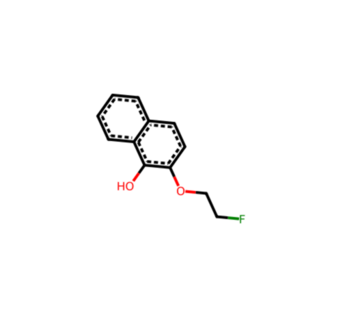 Oc1c(OCCF)ccc2ccccc12